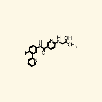 C[C@H](O)CNc1ccc(C(=O)Nc2ccc(I)c(-c3ccccn3)c2)cn1